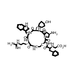 N=C(N)NCCC[C@@H]1NC(=O)[C@H](Cc2c[nH]c3ccccc23)NC(=O)[C@@H](C[C@H]2CC[C@@H](O)CC2)NC(=O)[C@@H]2C[C@@H](N)CN2C(=O)[C@@H](NC(=O)C(Cc2ccccc2)NCC(=O)O)CCCNC1=O